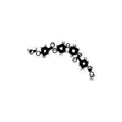 COCOc1ccc(C(=O)Oc2ccc(Oc3ccc(OC(=O)c4ccc(OCOC)cc4)cc3)cc2)cc1